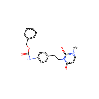 CCCn1ccc(=O)n(CCc2ccc(NC(=O)OCc3ccccc3)cc2)c1=O